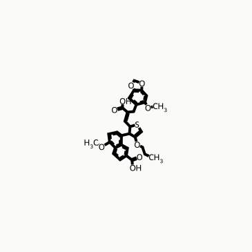 CCCOC1=CSC(/C=C(\Cc2cc3c(cc2OC)OCO3)C(=O)O)C1c1ccc(OC)c2ccc(C(=O)O)cc12